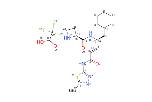 CC(C)(C)c1nnc(NC(=O)/C=C/[C@H](CC2CCCCC2)NC(=O)[C@@H]2CCN2)s1.O=C(O)C(F)(F)F